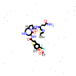 CCOP(=O)(OCC)C(F)(F)c1ccc2sc(C(=O)N[C@H]3CNCC[C@H]4CC[C@@H](C(=O)N[C@@H](CCC(N)=O)c5ncc(C(C)(C)C)s5)N4C3=O)cc2c1